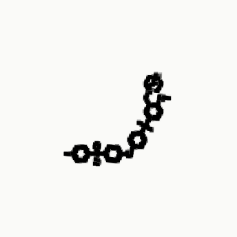 COc1ccc(C(C)(C)c2ccc(Oc3ccc(S(=O)(=O)c4ccc(C)cc4)cc3)cc2)cc1C[N+]12CCN(CC1)CC2